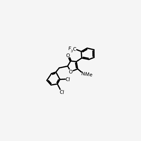 CNC1=C(c2ccccc2C(F)(F)F)C(=O)C(Cc2cccc(Cl)c2Cl)O1